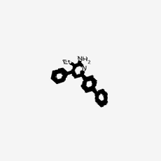 CCC1C(N)N=C(c2ccc(-c3ccccc3)cc2)CC1c1ccccc1